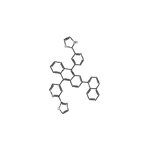 C1=COC(c2cc(-c3c4ccccc4c(-c4ccnc(-c5ncco5)c4)c4ccc(-c5cccc6ccccc56)cc34)ccn2)N1